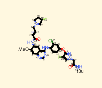 COc1cc2ncnc(Nc3ccc(Oc4nn(CC(=O)NC(C)(C)C)cc4F)cc3Cl)c2cc1NC(=O)/C=C/CN1CCC(F)C1